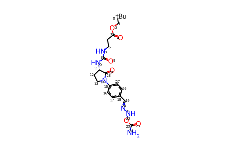 CC(C)(C)COC(=O)CCNC(=O)N[C@H]1CCN(c2ccc(C=NNOC(N)=O)cc2)C1=O